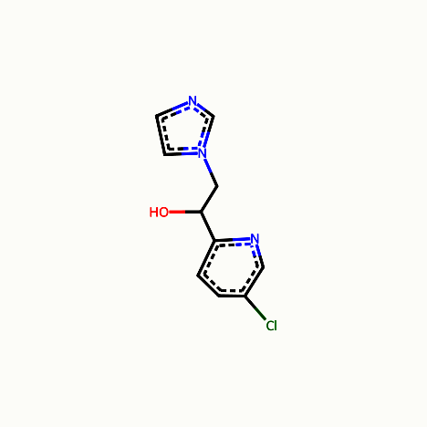 OC(Cn1ccnc1)c1ccc(Cl)cn1